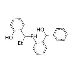 CCC(Pc1ccccc1C(O)c1ccccc1)c1ccccc1O